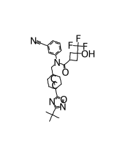 CC(C)(C)c1noc(C23CCC(CN(C(=O)C4CC(O)(C(F)(F)F)C4)c4cccc(C#N)c4)(CC2)CC3)n1